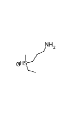 CC[SH](C)(=O)CCCN